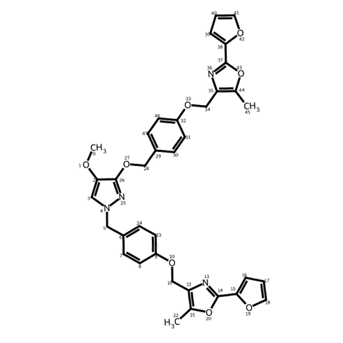 COc1cn(Cc2ccc(OCc3nc(-c4ccco4)oc3C)cc2)nc1OCc1ccc(OCc2nc(-c3ccco3)oc2C)cc1